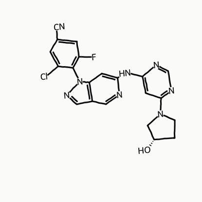 N#Cc1cc(F)c(-n2ncc3cnc(Nc4cc(N5CC[C@H](O)C5)ncn4)cc32)c(Cl)c1